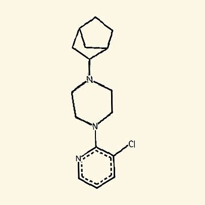 Clc1cccnc1N1CCN(C2CC3CCC2C3)CC1